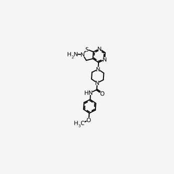 COc1ccc(NC(=O)N2CCN(c3ncnc4c3CN(N)S4)CC2)cc1